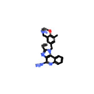 CCCCc1nc2c(N)nc3ccccc3c2n1Cc1cc(C)c(OCCC)c(CN)c1